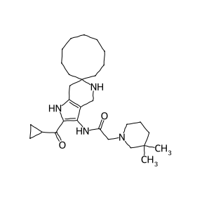 CC1(C)CCCN(CC(=O)Nc2c(C(=O)C3CC3)[nH]c3c2CNC2(CCCCCCCCC2)C3)C1